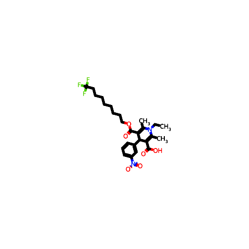 CCN1C(C)=C(C(=O)O)C(c2cccc([N+](=O)[O-])c2)C(C(=O)OCCCCCCCCC(F)(F)F)=C1C